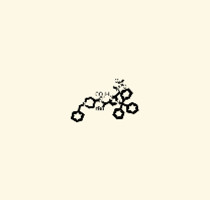 CN(Cc1nc(C(N(C(=O)O)C2CCN(Cc3ccccc3)CC2)C(C)(C)C)cn1C(c1ccccc1)(c1ccccc1)c1ccccc1)S(C)(=O)=O